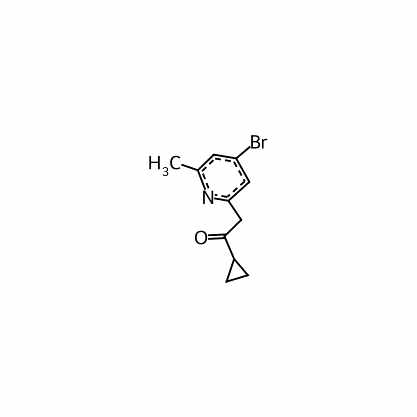 Cc1cc(Br)cc(CC(=O)C2CC2)n1